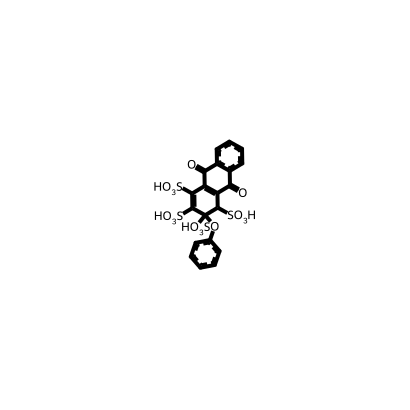 O=C1C2=C(C(=O)c3ccccc31)C(S(=O)(=O)O)C(Oc1ccccc1)(S(=O)(=O)O)C(S(=O)(=O)O)=C2S(=O)(=O)O